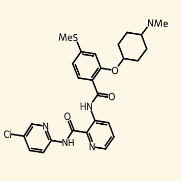 CNC1CCC(Oc2cc(SC)ccc2C(=O)Nc2cccnc2C(=O)Nc2ccc(Cl)cn2)CC1